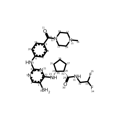 Bc1cnc(Nc2ccc(C(=O)N3CCN(C)CC3)cc2)nc1N[C@@H]1CCC[C@@H]1C(=O)NCC(F)F